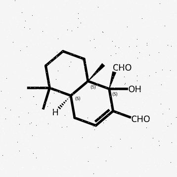 CC1(C)CCC[C@@]2(C)[C@H]1CC=C(C=O)[C@]2(O)C=O